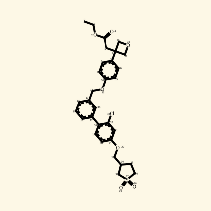 CCOC(=O)CC1(c2ccc(OCc3cccc(-c4ccc(OCC5CCS(=O)(=O)C5)cc4Cl)c3)cc2)COC1